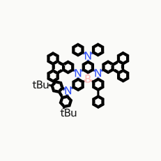 CC(C)(C)c1ccc2c(c1)c1cc(C(C)(C)C)ccc1n2-c1ccc2c(c1)N(c1ccc3c4ccccc4c4ccccc4c3c1)c1cc(N(c3ccccc3)c3ccccc3)cc3c1B2c1cc(-c2ccccc2)ccc1N3c1ccc2c3ccccc3c3ccccc3c2c1